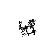 C=Cc1c(C)c2cc3nc(cc4[nH]c(cc5nc(cc1[nH]2)C(C)=C5CCC(=O)N(C)CCN(C)C)c(CCC(=O)N(C)CCN(C)C)c4C)[C@@]1(C)C3=CC=C(C(=O)OC)C1C(=O)OC